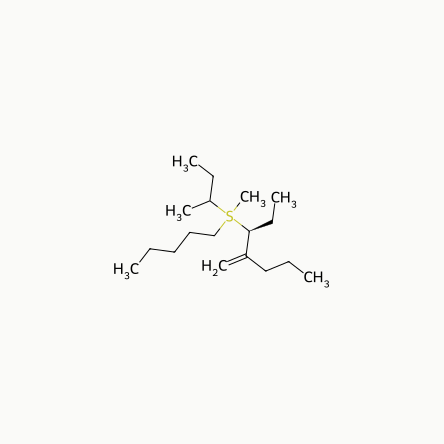 C=C(CCC)[C@H](CC)S(C)(CCCCC)C(C)CC